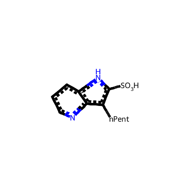 CCCCCc1c(S(=O)(=O)O)[nH]c2cccnc12